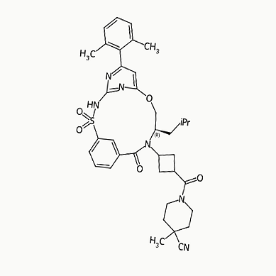 Cc1cccc(C)c1-c1cc2nc(n1)NS(=O)(=O)c1cccc(c1)C(=O)N(C1CC(C(=O)N3CCC(C)(C#N)CC3)C1)[C@H](CC(C)C)CO2